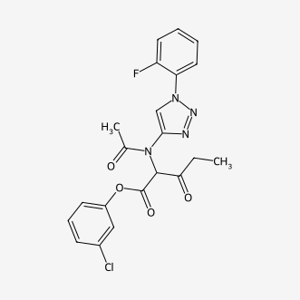 CCC(=O)C(C(=O)Oc1cccc(Cl)c1)N(C(C)=O)c1cn(-c2ccccc2F)nn1